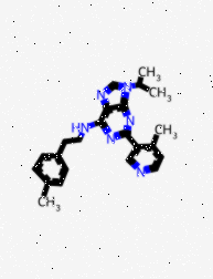 Cc1ccc(CCNc2nc(-c3cnccc3C)nc3c2ncn3C(C)C)cc1